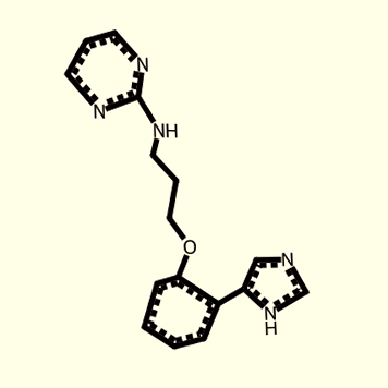 c1cnc(NCCCOc2ccccc2-c2cnc[nH]2)nc1